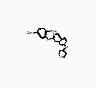 COc1ccc(OC)c(Nc2cc3cc(OC4CCNCC4)ccc3cn2)c1